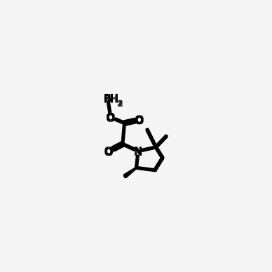 BOC(=O)C(=O)N1[C@H](C)CCC1(C)C